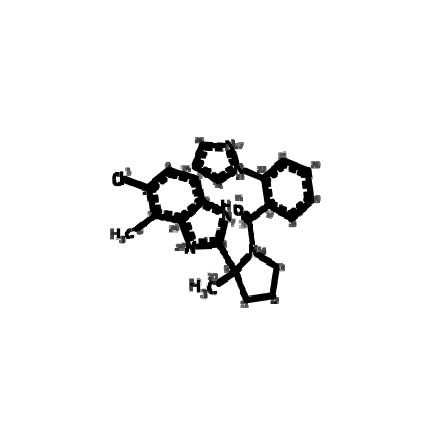 Cc1c(Cl)ccc2[nH]c(C3(C)CCCN3C(=O)c3ccccc3-n3cccn3)nc12